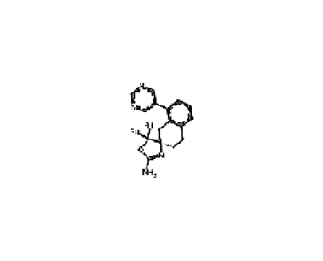 [2H]C1([2H])OC(N)=N[C@@]12CCc1cccc(-c3cncnc3)c1C2